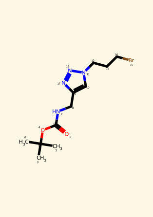 CC(C)(C)OC(=O)NCc1cn(CCCBr)nn1